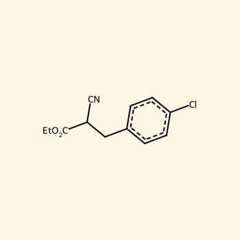 CCOC(=O)C(C#N)Cc1ccc(Cl)cc1